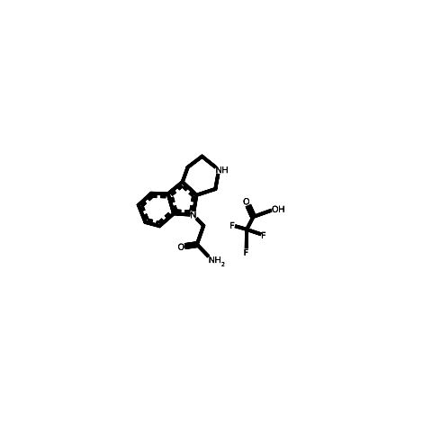 NC(=O)Cn1c2c(c3ccccc31)CCNC2.O=C(O)C(F)(F)F